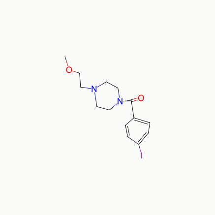 COCCN1CCN(C(=O)c2ccc(I)cc2)CC1